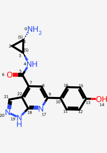 N[C@H]1C[C@@H]1NC(=O)c1cc(-c2ccc(O)cc2)nc2[nH]ncc12